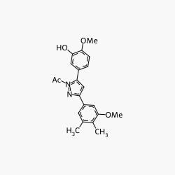 COc1ccc(-c2cc(-c3cc(C)c(C)c(OC)c3)nn2C(C)=O)cc1O